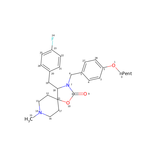 CCCCCOc1ccc(CN2C(=O)OC3(CCN(C)CC3)C2Cc2ccc(F)cc2)cc1